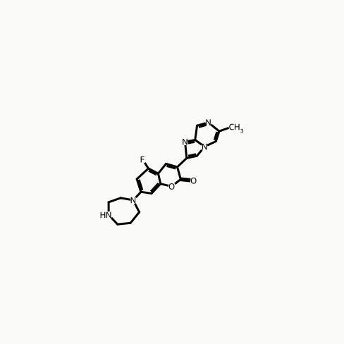 Cc1cn2cc(-c3cc4c(F)cc(N5CCCNCC5)cc4oc3=O)nc2cn1